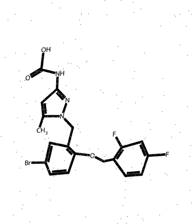 Cc1cc(NC(=O)O)nn1Cc1cc(Br)ccc1OCc1ccc(F)cc1F